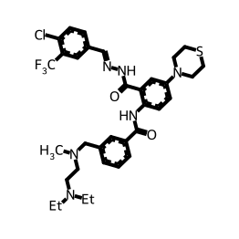 CCN(CC)CCN(C)Cc1cccc(C(=O)Nc2ccc(N3CCSCC3)cc2C(=O)N/N=C/c2ccc(Cl)c(C(F)(F)F)c2)c1